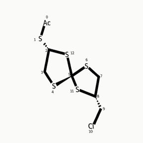 CC(=O)S[C@H]1CS[C@]2(SC[C@H](CCl)S2)S1